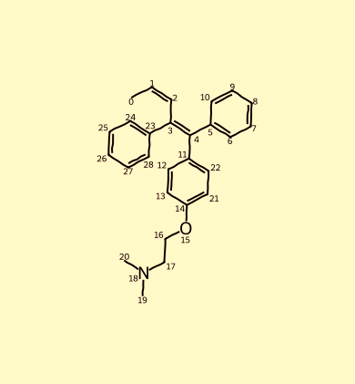 C/C=C\C(=C(/c1ccccc1)c1ccc(OCCN(C)C)cc1)c1ccccc1